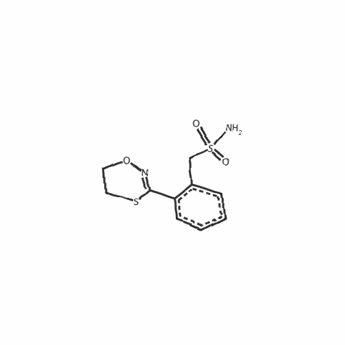 NS(=O)(=O)Cc1ccccc1C1=NOCCS1